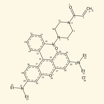 C=CC(=O)N1CCN(C(=O)c2ccccc2-c2c3ccc(N(CC)CC)cc3[o+]c3cc(N(CC)CC)ccc23)CC1.[Cl-]